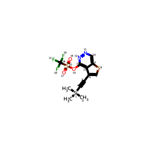 C[Si](C)(C)C#Cc1csc2cnnc(OS(=O)(=O)C(F)(F)F)c12